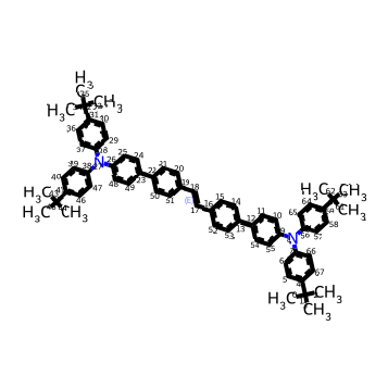 CC(C)(C)c1ccc(N(c2ccc(-c3ccc(/C=C/c4ccc(-c5ccc(N(c6ccc(C(C)(C)C)cc6)c6ccc(C(C)(C)C)cc6)cc5)cc4)cc3)cc2)c2ccc(C(C)(C)C)cc2)cc1